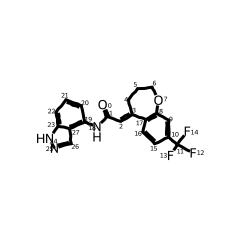 O=C(C=C1CCCOc2cc(C(F)(F)F)ccc21)Nc1cccc2[nH]ncc12